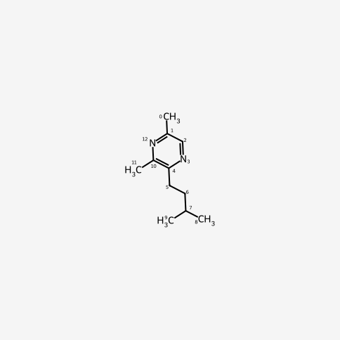 Cc1cnc(CCC(C)C)c(C)n1